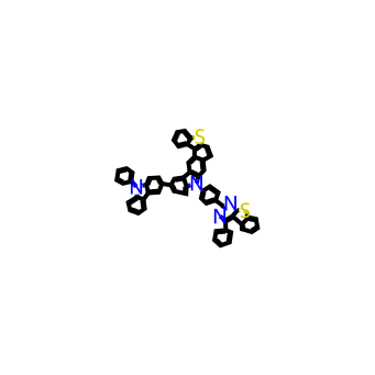 c1ccc(-c2nc(-c3ccc(-n4c5ccc(-c6ccc7c(c6)c6ccccc6n7-c6ccccc6)cc5c5cc6c(ccc7sc8ccccc8c76)cc54)cc3)nc3sc4ccccc4c23)cc1